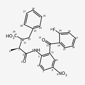 C[C@H](C(=O)Nc1ccc([N+](=O)[O-])cc1C(=O)c1ccccc1F)N(Cc1ccccc1)C(=O)O